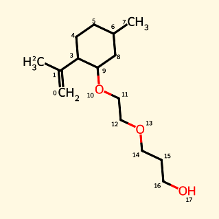 C=C(C)C1CCC(C)CC1OCCOCCCO